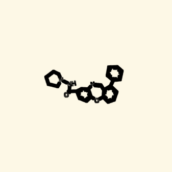 O=C(NN1CCCCC1)c1ccc2c(c1)N=Cc1c(cccc1-c1ccccc1)O2